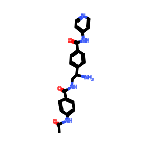 CC(=O)Nc1ccc(C(=O)NCC(N)c2ccc(C(=O)Nc3ccncc3)cc2)cc1